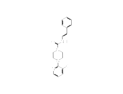 O=C(N/C=C/c1ccccc1)N1CCN(c2ncccc2Cl)CC1